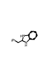 CC(C)CC1Nc2ccccc2N1